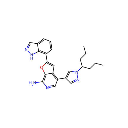 CCCC(CCC)n1cc(-c2cnc(N)c3oc(-c4cccc5cn[nH]c45)cc23)cn1